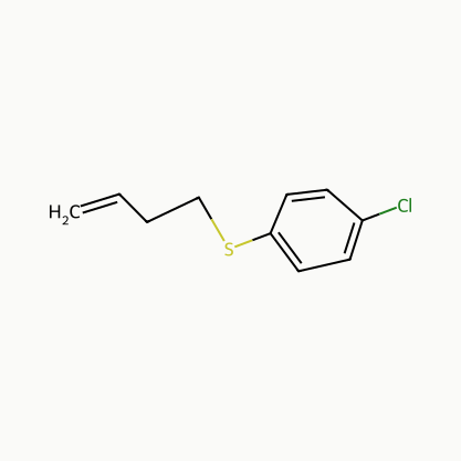 C=CCCSc1ccc(Cl)cc1